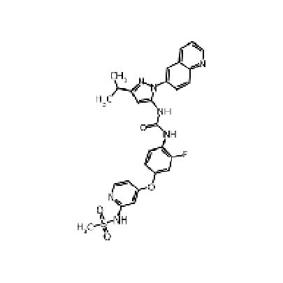 CC(C)c1cc(NC(=O)Nc2ccc(Oc3ccnc(NS(C)(=O)=O)c3)cc2F)n(-c2ccc3ncccc3c2)n1